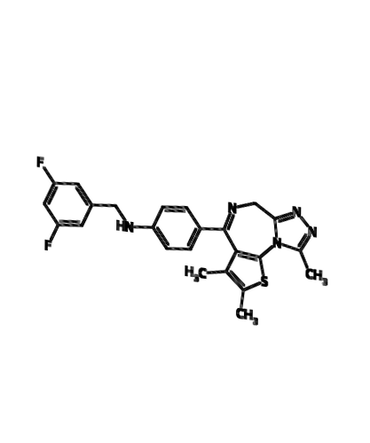 Cc1sc2c(c1C)C(c1ccc(NCc3cc(F)cc(F)c3)cc1)=NCc1nnc(C)n1-2